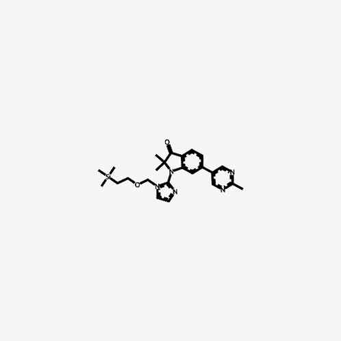 Cc1ncc(-c2ccc3c(c2)N(c2nccn2COCC[Si](C)(C)C)C(C)(C)C3=O)cn1